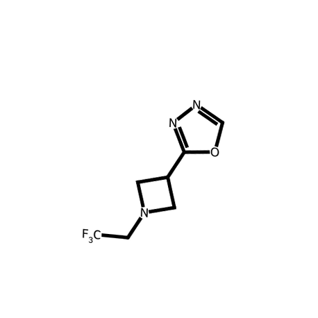 FC(F)(F)CN1CC(c2nnco2)C1